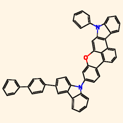 c1ccc(-c2ccc(-c3ccc4c(c3)c3ccccc3n4-c3ccc4c(c3)Oc3cc5c(c6cccc-4c36)c3ccccc3n5-c3ccccc3)cc2)cc1